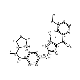 CCc1cccc(C(=O)c2sc(Nc3ccc(O[C@@H](C)C4CCCN4)cc3)nc2N)c1